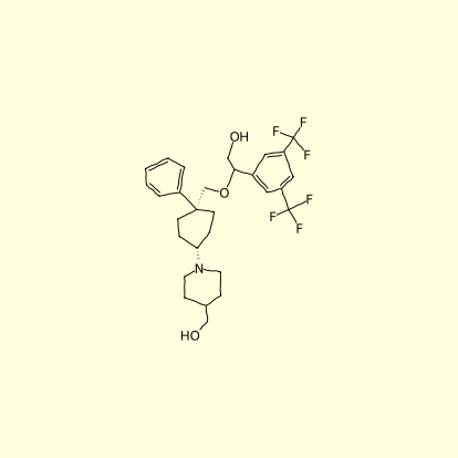 OCC1CCN([C@H]2CC[C@](COC(CO)c3cc(C(F)(F)F)cc(C(F)(F)F)c3)(c3ccccc3)CC2)CC1